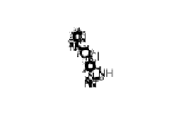 ClC1(c2ccc3c(c2)CNCc2nncn2-3)CCC(c2nsc3cccnc23)CC1